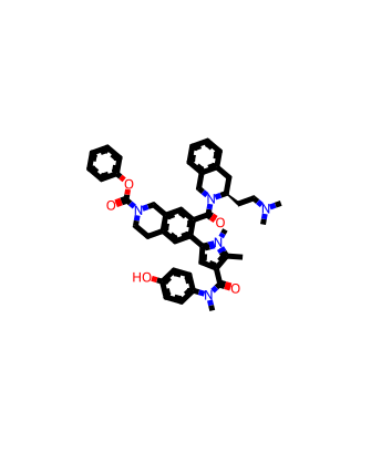 Cc1c(C(=O)N(C)c2ccc(O)cc2)cc(-c2cc3c(cc2C(=O)N2Cc4ccccc4C[C@H]2CCN(C)C)CN(C(=O)Oc2ccccc2)CC3)n1C